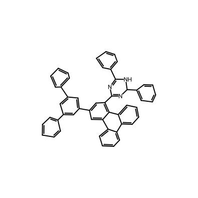 c1ccc(C2=NC(c3cc(-c4cc(-c5ccccc5)cc(-c5ccccc5)c4)cc4c5ccccc5c5ccccc5c34)=NC(c3ccccc3)N2)cc1